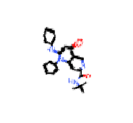 CC(C)(C)NC(=O)c1cc2c(cn1)c(=O)cc(Nc1ccccc1)n2-c1ccccc1